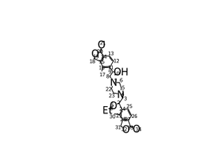 CCOC(CN1CCN(CC(O)c2ccc3c(c2C)COC3=O)CC1)c1ccc2c(c1C)COC2=O